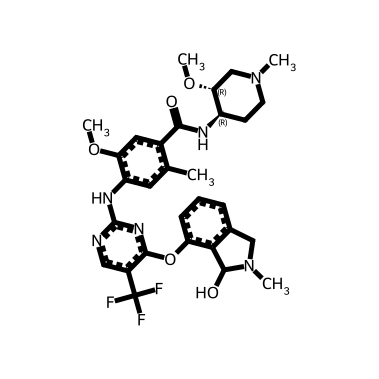 COc1cc(C(=O)N[C@@H]2CCN(C)C[C@H]2OC)c(C)cc1Nc1ncc(C(F)(F)F)c(Oc2cccc3c2C(O)N(C)C3)n1